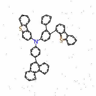 c1ccc(-c2cc(N(c3ccc(-c4cc5ccccc5c5ccccc45)cc3)c3ccc4sc5ccccc5c4c3)ccc2-c2cccc3c2sc2ccccc23)cc1